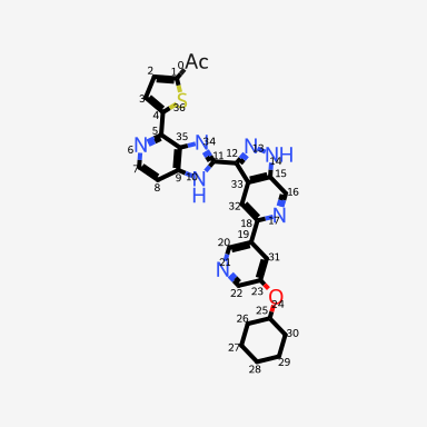 CC(=O)c1ccc(-c2nccc3[nH]c(-c4n[nH]c5cnc(-c6cncc(OC7CCCCC7)c6)cc45)nc23)s1